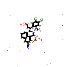 CSc1c(C#N)cc2ccccc2c1C(=O)N(C)C[C@@H](CCO)c1ccc(Cl)c(Cl)c1